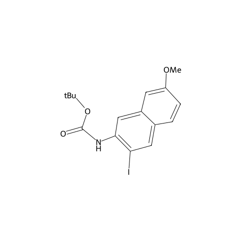 COc1ccc2cc(I)c(NC(=O)OC(C)(C)C)cc2c1